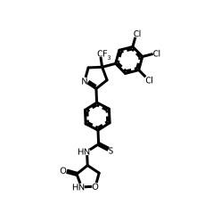 O=C1NOCC1NC(=S)c1ccc(C2=NCC(c3cc(Cl)c(Cl)c(Cl)c3)(C(F)(F)F)C2)cc1